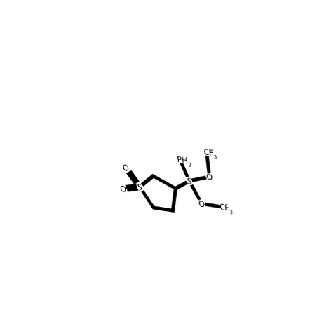 O=S1(=O)CCC(S(P)(OC(F)(F)F)OC(F)(F)F)C1